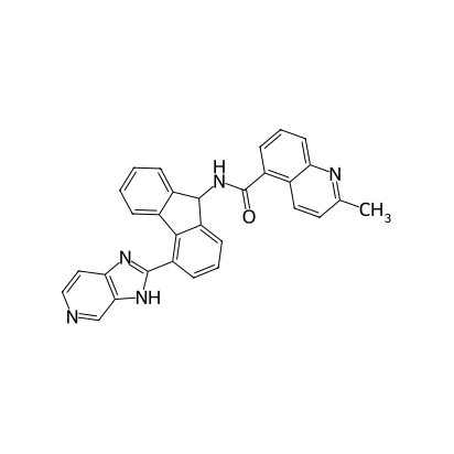 Cc1ccc2c(C(=O)NC3c4ccccc4-c4c(-c5nc6ccncc6[nH]5)cccc43)cccc2n1